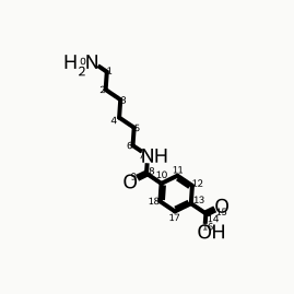 NCCCCCCNC(=O)c1ccc(C(=O)O)cc1